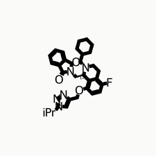 CC(C)n1cc(COc2ccc(F)c3c2[C@@H](CN2Cc4ccccc4C2=O)N(C(=O)C2CCCCC2)CC3)nn1